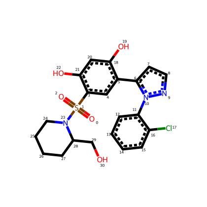 O=S(=O)(c1cc(-c2ccnn2-c2ccccc2Cl)c(O)cc1O)N1CCCCC1CO